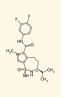 CC(C)[C@@H]1CCc2c(cn(C)c2C(=O)Nc2ccc(F)c(F)c2)S(=N)(=O)N1